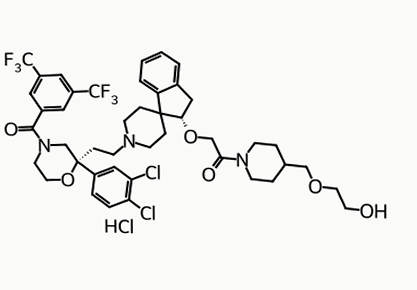 Cl.O=C(CO[C@H]1Cc2ccccc2C12CCN(CC[C@@]1(c3ccc(Cl)c(Cl)c3)CN(C(=O)c3cc(C(F)(F)F)cc(C(F)(F)F)c3)CCO1)CC2)N1CCC(COCCO)CC1